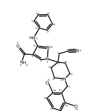 N#CCC1(n2cc(C(N)=O)c(Nc3ccccc3)n2)CCN(Cc2c(Cl)cccc2Cl)CC1